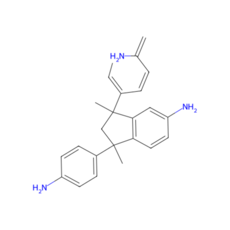 C=C(N)/C=C\C(=C/C)C1(C)CC(C)(c2ccc(N)cc2)c2ccc(N)cc21